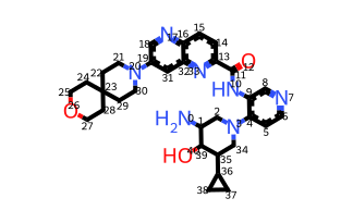 NC1CN(c2ccncc2NC(=O)c2ccc3ncc(N4CCC5(CCOCC5)CC4)cc3n2)CC(C2CC2)C1O